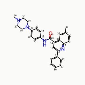 Cc1ccc2nc(-c3ccccc3)cc(C(=O)Nc3ccc(N4CCN(C)CC4)cc3)c2c1